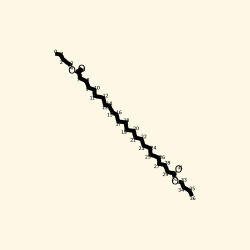 CCCCOC(=O)CCCCCCCCCCCCCCCCCCCCCCCC(=O)OCCCC